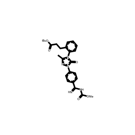 COC(=O)NC(=N)c1ccc(-n2nc(C)n(-c3ccccc3CCC(=O)OCC(C)C)c2=O)cc1